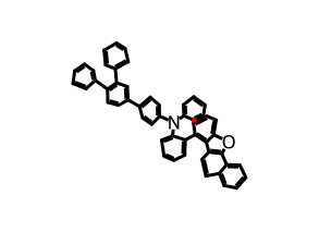 c1ccc(-c2ccc(-c3ccc(N(c4ccccc4)c4ccccc4-c4cccc5oc6c7ccccc7ccc6c45)cc3)cc2-c2ccccc2)cc1